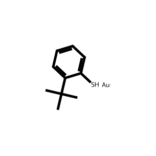 CC(C)(C)c1ccccc1S.[Au]